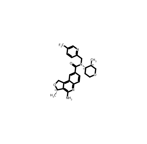 C[C@@H]1OCc2c1c(N)nc1ccc(C(=O)N(Cc3ccc(C(F)(F)F)cn3)[C@H]3CCOC[C@@H]3C)cc21